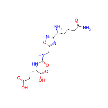 NC(=O)CCC[C@H](N)c1noc(CNC(=O)N[C@@H](CCC(=O)O)C(=O)O)n1